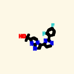 CC(C)(O)c1ccn2c(-c3ccnc(-c4ccc(F)cc4F)n3)cnc2n1